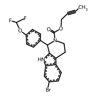 CC#CCOC(=O)N1CCc2c([nH]c3cc(Br)ccc23)C1c1ccc(OC(F)F)cc1